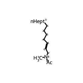 CCCCCCCCCCC/C=C/CN(C)C(C)=O